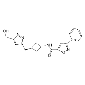 O=C(N[C@H]1C[C@H](Cn2cc(CO)nn2)C1)c1cc(-c2ccccc2)no1